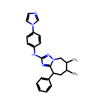 CC1CC(c2ccccc2)c2nc(Nc3ccc(-n4ccnc4)cc3)nn2CC1C